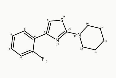 Fc1ccccc1-c1csc(N2CCCCC2)n1